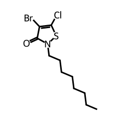 CCCCCCCCn1sc(Cl)c(Br)c1=O